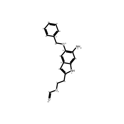 Nc1cc2[nH]c(CCOC=O)cc2cc1OCc1ccccc1